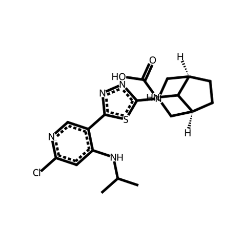 CC(C)Nc1cc(Cl)ncc1-c1nnc(N2C[C@H]3CC[C@@H](C2)C3NC(=O)O)s1